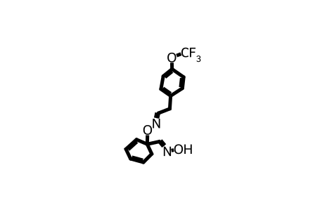 ON=CC1(ON=CCc2ccc(OC(F)(F)F)cc2)C=CC=CC1